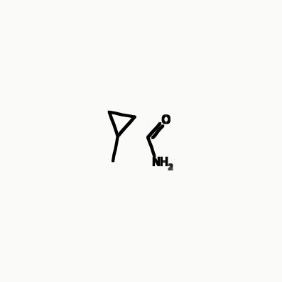 CC1CC1.NC=O